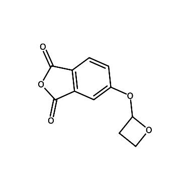 O=C1OC(=O)c2cc(OC3CCO3)ccc21